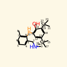 CNCc1cccc(C)c1Pc1cc([Si](C)(C)C)cc([Si](C)(C)C)c1O